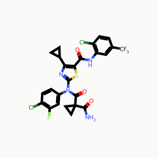 NC(=O)C1(C(=O)N(c2ccc(Cl)c(F)c2)c2nc(C3CC3)c(C(=O)Nc3cc(C(F)(F)F)ccc3Cl)s2)CC1